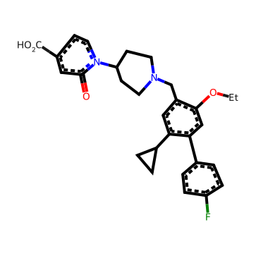 CCOc1cc(-c2ccc(F)cc2)c(C2CC2)cc1CN1CCC(n2ccc(C(=O)O)cc2=O)CC1